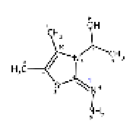 Cc1s/c(=N\N)n(C(C)O)c1C